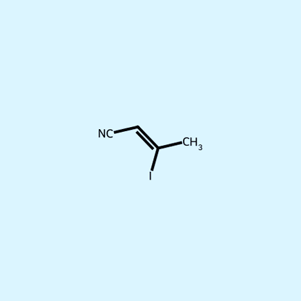 CC(I)=CC#N